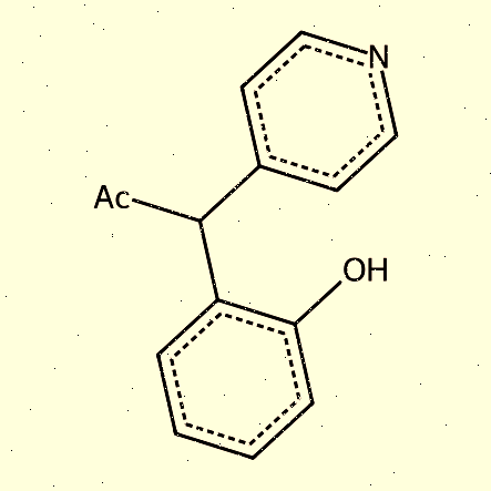 CC(=O)C(c1ccncc1)c1ccccc1O